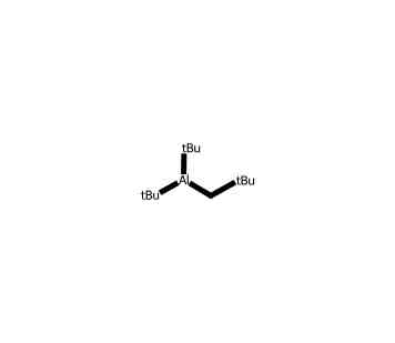 CC(C)(C)[CH2][Al]([C](C)(C)C)[C](C)(C)C